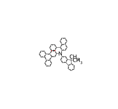 CC1(C)c2ccccc2-c2ccc(N(c3ccc4c5ccccc5c5ccccc5c4c3)c3ccc4ccccc4c3-c3ccccc3)cc21